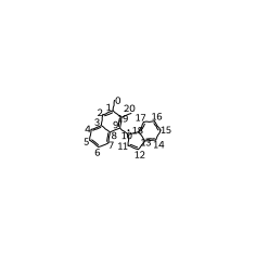 Cc1cc2ccccc2c([C]2C=Cc3ccccc32)c1C